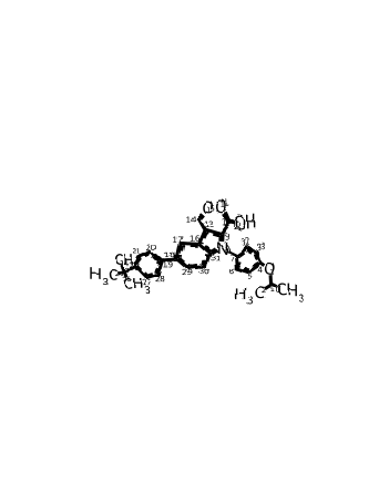 CC(C)Oc1ccc(-n2c(C(=O)O)c(C=O)c3cc(-c4ccc(C(C)(C)C)cc4)ccc32)cc1